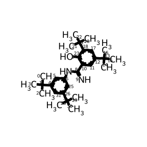 CC(C)(C)c1cc(NC(=N)c2cc(C(C)(C)C)cc(C(C)(C)C)c2O)cc(C(C)(C)C)c1